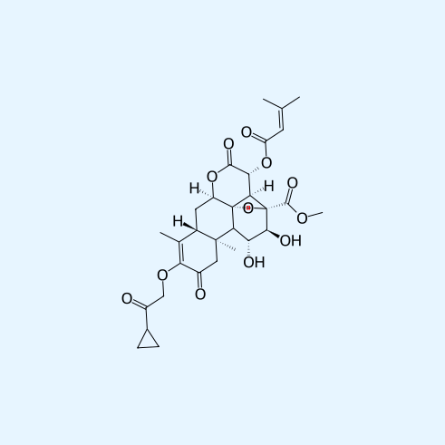 COC(=O)[C@@]12OC[C@]34C([C@@H](O)[C@@H]1O)[C@@]1(C)CC(=O)C(OCC(=O)C5CC5)=C(C)[C@@H]1C[C@H]3OC(=O)[C@H](OC(=O)C=C(C)C)[C@@H]24